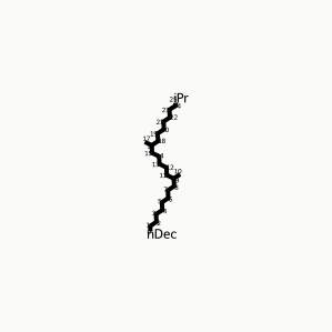 CCCCCCCCCCCCCCCCCCC(C)CCCCCC(C)CCCCCCCC(C)C